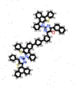 c1ccc(-c2nc(-n3c4ccccc4c4c5cc(-c6ccc(-c7cccc(-c8nc(-n9c%10ccccc%10c%10c%11ccccc%11c%11c%12ccccc%12sc%11c%109)nc9c8oc8c%10ccccc%10ccc98)c7)cc6)ccc5c5c6ccccc6sc5c43)nc3c2sc2c4ccccc4c4ccccc4c32)cc1